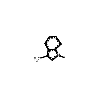 FC(F)(F)c1cn(I)c2ccccc12